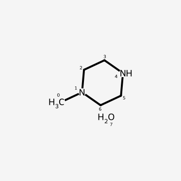 CN1CCNCC1.O